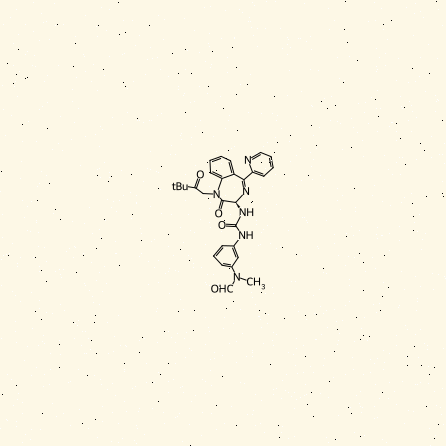 CN(C=O)c1cccc(NC(=O)N[C@@H]2N=C(c3ccccn3)c3ccccc3N(CC(=O)C(C)(C)C)C2=O)c1